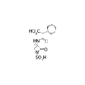 O=C(O)C(C(=O)N[C@H]1CN(S(=O)(=O)O)C1=O)c1ccccc1